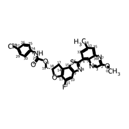 COc1cnc2c(-c3nc4cc(F)c5c(c4s3)C[C@@H](COC(=O)Nc3ccc(Cl)cc3)O5)cc(C)cc2n1